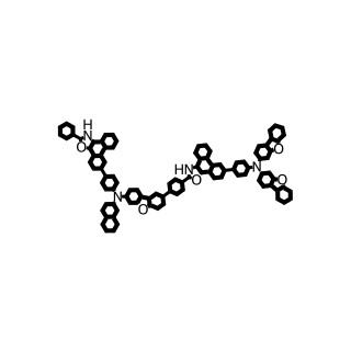 c1ccc(C2Nc3c(c4ccc(-c5ccc(N(c6ccc7ccccc7c6)c6ccc7c(c6)oc6ccc(-c8ccc(C9Nc%10c(c%11ccc(-c%12ccc(N(c%13ccc%14c(c%13)oc%13ccccc%13%14)c%13ccc%14c(c%13)oc%13ccccc%13%14)cc%12)cc%11c%11ccccc%10%11)O9)cc8)cc67)cc5)cc4c4ccccc34)O2)cc1